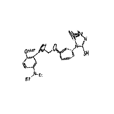 CCN(CC)c1ccc(OC)c(NCOc2cccc(-n3nnnc3S)c2)c1